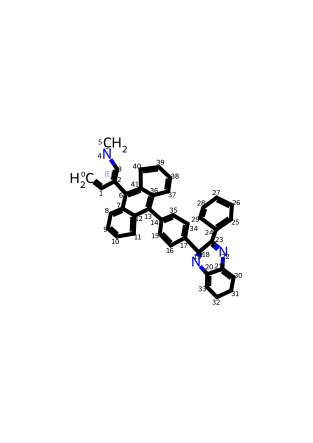 C=C/C(=C\N=C)c1c2ccccc2c(-c2ccc(-c3nc4c(nc3-c3ccccc3)=CCCC=4)cc2)c2ccccc12